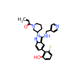 C=CC(=O)N1CCCC(n2nc3ccc(-c4c(O)cccc4F)cc3c2NCc2ccncc2)C1